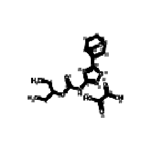 CCC(CC)OC(=O)Nc1noc(C2CN3CCC2CC3)n1.O=C(O)C(=O)O